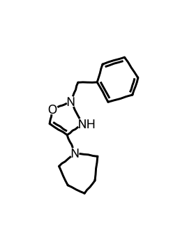 C1=C(N2CCCCC2)NN(Cc2ccccc2)O1